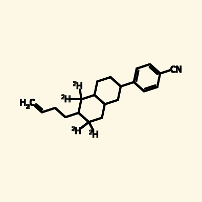 [2H]C1([2H])CC2CC(c3ccc(C#N)cc3)CCC2C([2H])([2H])C1CCC=C